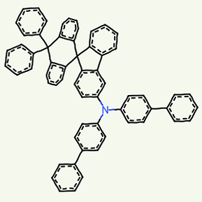 c1ccc(-c2ccc(N(c3ccc(-c4ccccc4)cc3)c3ccc4c(c3)-c3ccccc3C43c4ccccc4C(c4ccccc4)(c4ccccc4)c4ccccc43)cc2)cc1